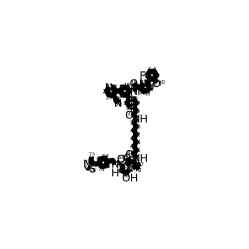 COc1cccc(F)c1-c1nccc(C(=O)Nc2ccc(-c3cnccc3C#N)cc2N2CCN(CC(=O)NCCCCCCCCC(=O)N[C@H](C(=O)N3C[C@H](O)C[C@H]3C(=O)NCc3ccc(-c4scnc4C)cc3)C(C)(C)C)CC2)n1